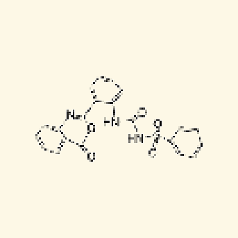 O=C(Nc1ccccc1-c1nc2ccccc2c(=O)o1)NS(=O)(=O)c1ccccc1